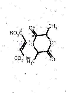 CC1OC(=O)C(C)OC1=O.O=C(O)/C=C/C(=O)O